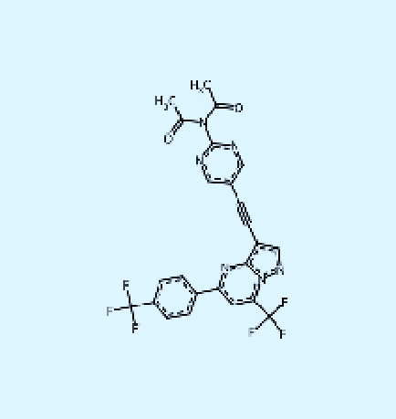 CC(=O)N(C(C)=O)c1ncc(C#Cc2cnn3c(C(F)(F)F)cc(-c4ccc(C(F)(F)F)cc4)nc23)cn1